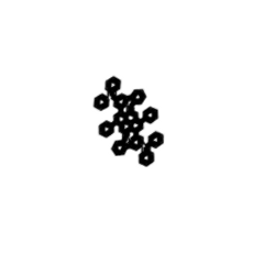 c1ccc(-c2cc3c4c(cc5c(-c6ccccc6)cc6c7c(cc2c4c57)B2c4ccccc4-c4cc(N(c5ccccc5)c5ccccc5)cc-6c42)B2c4ccccc4-c4cc(N(c5ccccc5)c5ccccc5)cc-3c42)cc1